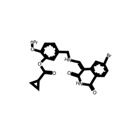 CCCOc1ccc(CNC=C2C(=O)NC(=O)c3ccc(Br)cc32)cc1OC(=O)C1CC1